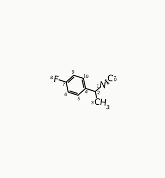 [C-]#[N+]C(C)c1ccc(F)cc1